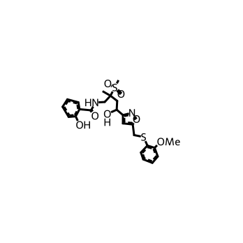 COc1ccccc1SCc1cc(C(O)CC(C)(CNC(=O)c2ccccc2O)S(C)(=O)=O)no1